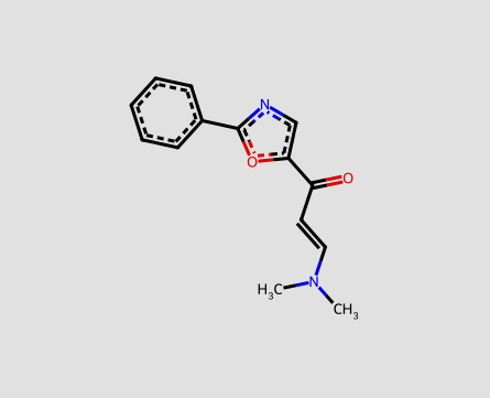 CN(C)C=CC(=O)c1cnc(-c2ccccc2)o1